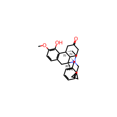 COc1ccc2c(c1O)[C@]13CCN(CC4CC4)[C@H](C2)[C@]1(Cc1ccccc1)CCC(=O)C3